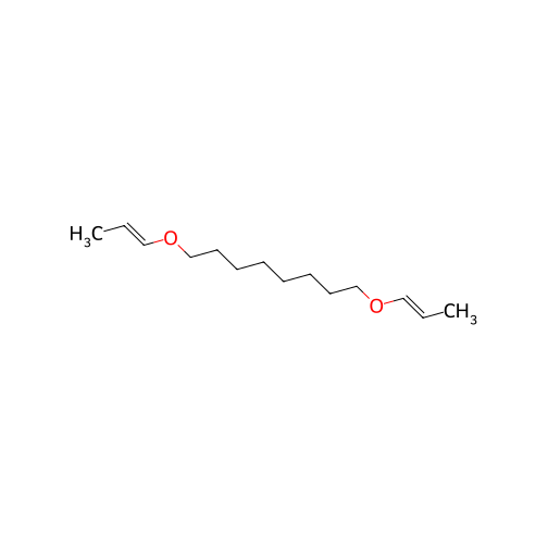 CC=COCCCCCCCCOC=CC